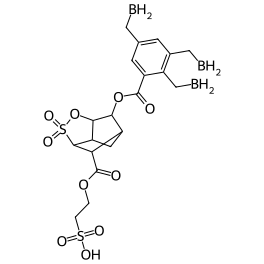 BCc1cc(CB)c(CB)c(C(=O)OC2C3CC4C2OS(=O)(=O)C4C3C(=O)OCCS(=O)(=O)O)c1